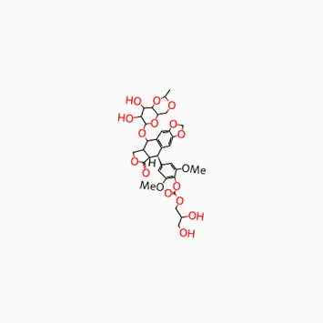 COc1cc([C@@H]2c3cc4c(cc3C(OC3OC5COC(C)OC5C(O)C3O)C3COC(=O)[C@@H]32)OCO4)cc(OC)c1OC(=O)OCC(O)CO